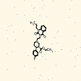 CCCn1c(=O)n(CCN2CC[C@H](c3ccc(F)cc3)[C@H](C(=O)OCC)C2)c(=O)c2ccccc21